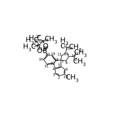 Cc1ccc2c(c1)C(CCC(C)C)(CCC(C)C)c1cc(B3OC(C)(C)C(C)(C)O3)ccc1-2